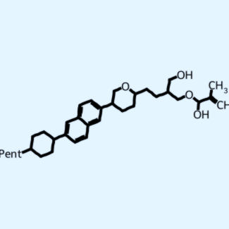 C=C(C)C(O)OCC(CO)CCC1CCC(c2ccc3cc(C4CCC(CCCCC)CC4)ccc3c2)CO1